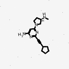 CN[C@@H]1CCN(c2cc(N)nc(C#CC3CCCC3)n2)C1